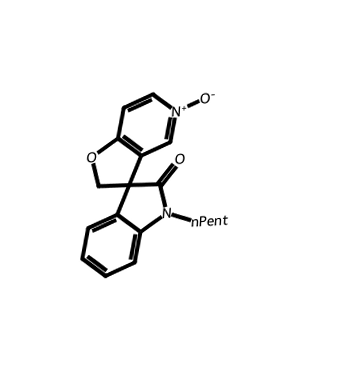 CCCCCN1C(=O)C2(COc3cc[n+]([O-])cc32)c2ccccc21